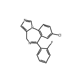 Fc1ccccc1C1=NCc2cncn2-c2ccc(Cl)cc21